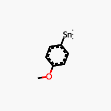 COc1cc[c]([Sn])cc1